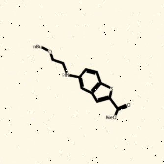 CCCCOCCNc1ccc2sc(C(=O)OC)cc2c1